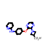 O=C(O)C1CN(c2nccnc2Oc2ccc(Nc3ccccn3)cc2)C1